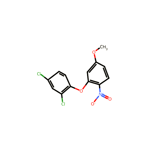 COc1ccc([N+](=O)[O-])c(Oc2ccc(Cl)cc2Cl)c1